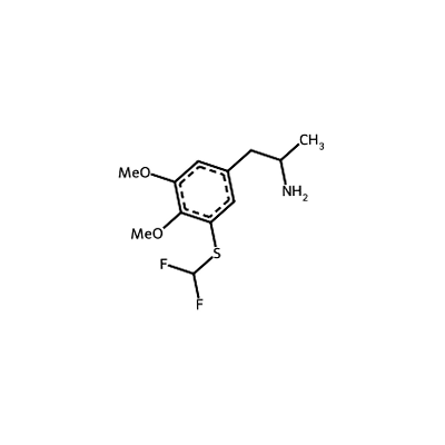 COc1cc(CC(C)N)cc(SC(F)F)c1OC